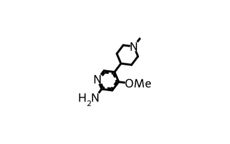 COc1cc(N)ncc1C1CCN(C)CC1